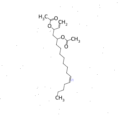 C=CC(CC(CCCCCCC/C=C\CCCC)OC(C)=O)OC(C)=O